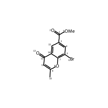 COC(=O)c1cc(Br)c2oc(C)cc(=O)c2c1